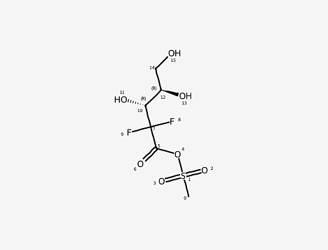 CS(=O)(=O)OC(=O)C(F)(F)[C@H](O)[C@H](O)CO